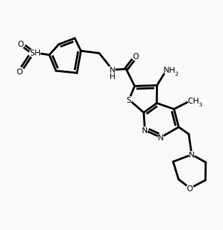 Cc1c(CN2CCOCC2)nnc2sc(C(=O)NCc3ccc([SH](=O)=O)cc3)c(N)c12